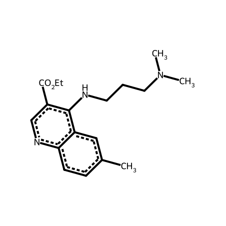 CCOC(=O)c1cnc2ccc(C)cc2c1NCCCN(C)C